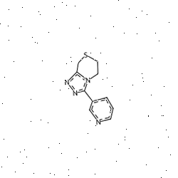 c1cncc(-c2nnc3n2CCSC3)c1